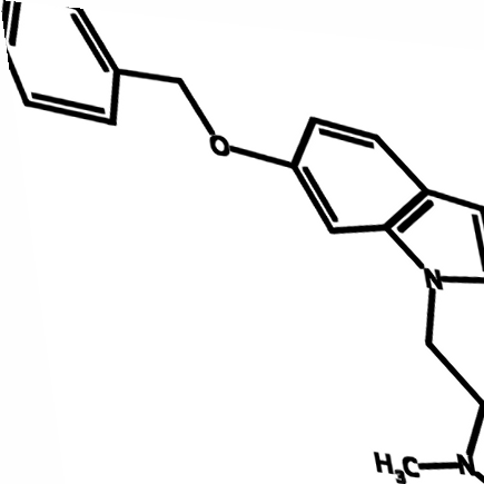 CN(C)CCn1ccc2ccc(OCc3ccccc3)cc21